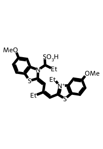 CCC(=Cc1sc2ccc(OC)cc2[n+]1CC)C=C1Sc2ccc(OC)cc2N1C(CC)S(=O)(=O)O